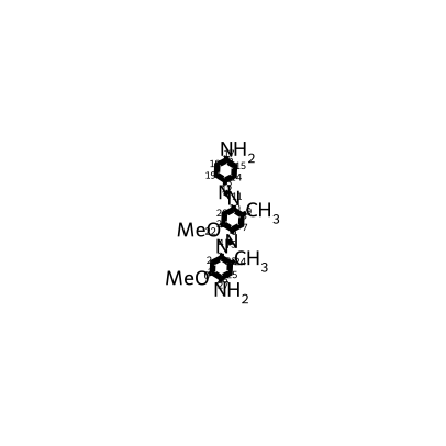 COc1cc(N=Nc2cc(C)c(N=Nc3ccc(N)cc3)cc2OC)c(C)cc1N